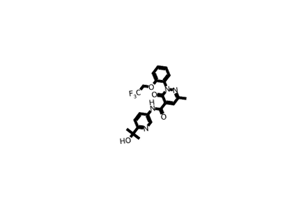 Cc1cc(C(=O)Nc2ccc(C(C)(C)O)nc2)c(=O)n(-c2ccccc2OCC(F)(F)F)n1